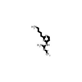 NCCCCc1nccc(N/C(N)=N\CC(F)(F)F)n1